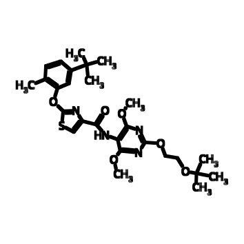 COc1nc(OCCOC(C)(C)C)nc(OC)c1NC(=O)c1csc(Oc2cc(C(C)(C)C)ccc2C)n1